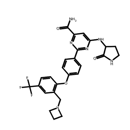 NC(=O)c1cc(NC2CCNC2=O)nc(-c2ccc(Oc3ccc(C(F)(F)F)cc3CN3CCC3)cc2)n1